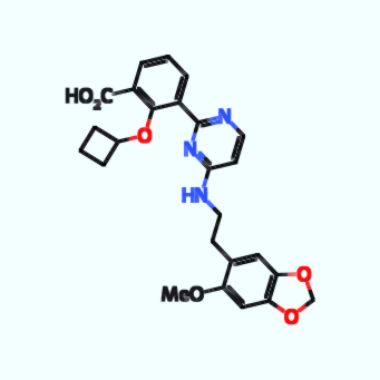 COc1cc2c(cc1CCNc1ccnc(-c3cccc(C(=O)O)c3OC3CCC3)n1)OCO2